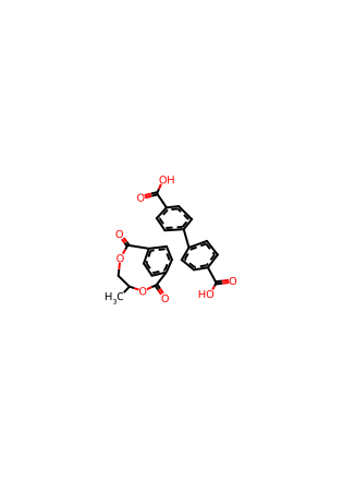 CC1COC(=O)c2ccc(cc2)C(=O)O1.O=C(O)c1ccc(-c2ccc(C(=O)O)cc2)cc1